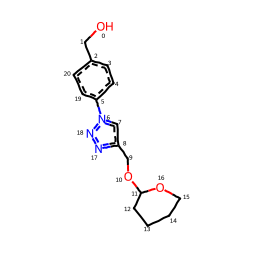 OCc1ccc(-n2cc(COC3CCCCO3)nn2)cc1